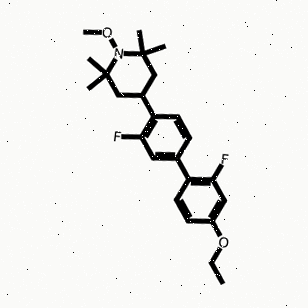 CCOc1ccc(-c2ccc(C3CC(C)(C)N(OC)C(C)(C)C3)c(F)c2)c(F)c1